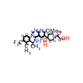 COc1nc2ncnc(N[C@H](C)c3cccc(C(F)(F)F)c3C)c2cc1C1(O)CCN(C(=O)CO)CC1